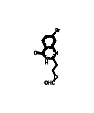 O=COCCc1nc2cc(Br)ccc2c(=O)[nH]1